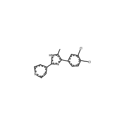 Cc1[nH]c(-c2ccncc2)nc1-c1ccc(Cl)c(Cl)c1